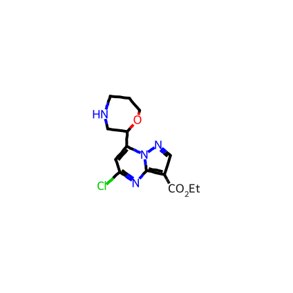 CCOC(=O)c1cnn2c(C3CNCCCO3)cc(Cl)nc12